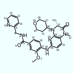 COc1cc(C(=O)NCc2ccccn2)ccc1Nc1ccc2c(n1)N(C1CCOCC1)[C@H](C)C(=O)N2C